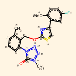 COc1ccc(F)cc1-c1csc(OCc2c(C)cccc2-n2nnn(C)c2=O)n1